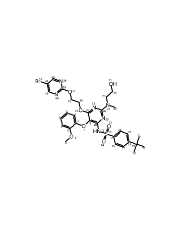 COc1ccccc1Oc1c(NS(=O)(=O)c2ccc(C(C)(C)C)cc2)nc(N(C)CCO)nc1OCCOc1ncc(Br)cn1